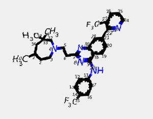 CC1CCN(CCc2nc(Nc3ccc(C(F)(F)F)cc3)c3ccc(-c4ncccc4C(F)(F)F)cc3n2)CC(C)(C)C1